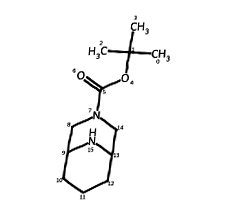 CC(C)(C)OC(=O)N1CC2CCCC(C1)N2